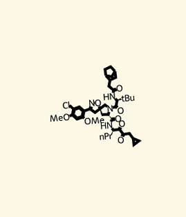 CCC[C@H](NC(=O)[C@@H]1C[C@]2(CC(c3cc(Cl)c(OC)cc3OC)=NO2)CN1C(=O)[C@@H](NC(=O)CC1CC2CCC1C2)C(C)(C)C)C(=O)C(=O)CC1CC1